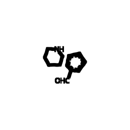 C1CCNCC1.O=Cc1ccccc1